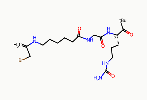 C=C(CBr)NCCCCCC(=O)NCC(=O)N[C@@H](CCCNC(N)=O)C(=O)C(C)(C)C